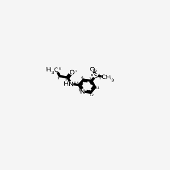 CCC(=O)Nc1cc([S+](C)[O-])ccn1